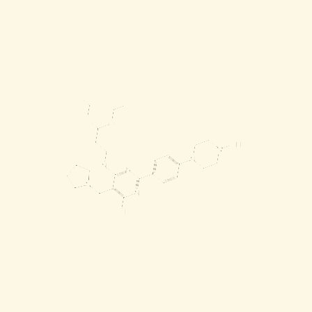 CCOC(CCNc1nc(-c2ccc(N3CCN(C)CC3)cc2)nc(C)c1CN1CCCC1)OCC